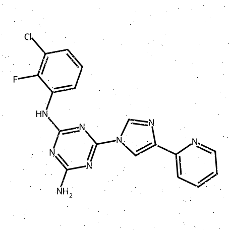 Nc1nc(Nc2cccc(Cl)c2F)nc(-n2cnc(-c3ccccn3)c2)n1